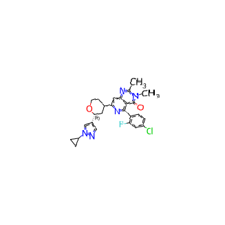 Cc1nc2cc(C3CCO[C@@H](c4cnn(C5CC5)c4)C3)nc(-c3ccc(Cl)cc3F)c2c(=O)n1C